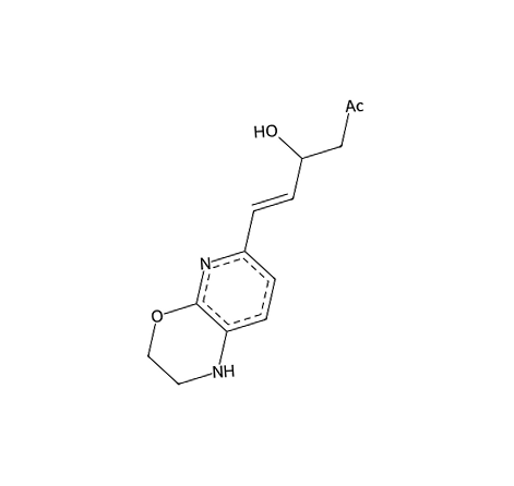 CC(=O)CC(O)/C=C/c1ccc2c(n1)OCCN2